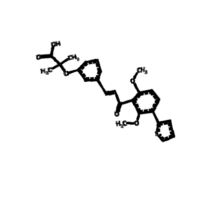 COc1ccc(-c2cccs2)c(OC)c1C(=O)C=Cc1cccc(OC(C)(C)C(=O)O)c1